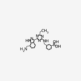 CCc1nc(NCc2cccc(B(O)O)c2)nc(-c2n[nH]c3c(CN)cccc23)n1